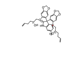 C=CCC[C@@H](O)COc1cc2c(cc1C1(c3cc4c(cc3OC[C@H](O)CCC=C)OCO4)C(=O)Nc3cc(F)ccc31)OCO2